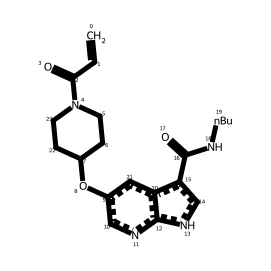 C=CC(=O)N1CCC(Oc2cnc3[nH]cc(C(=O)NCCCC)c3c2)CC1